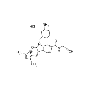 C#CCNC(=O)c1ccc2c(c1)N(CC1CCCC(N)C1)C(=O)/C2=C\c1[nH]c(C)cc1C.Cl